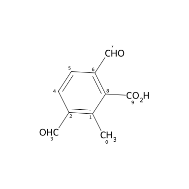 Cc1c(C=O)ccc(C=O)c1C(=O)O